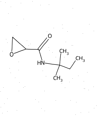 CCC(C)(C)NC(=O)C1CO1